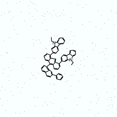 CCn1c2ccccc2c2ccc(-c3cccc4c(-c5cccc6ccc(-c7ccccc7)cc56)c5cccc(-c6ccc7c8ccccc8n(CC)c7c6)c5cc34)cc21